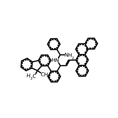 CC1(C)c2ccccc2-c2cccc(-c3ccccc3C(/C=C/c3c4ccccc4cc4c3ccc3ccccc34)NC(N)c3ccccc3)c21